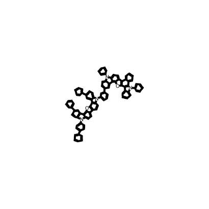 c1ccc(-c2ccc(-n3c4ccc(-c5ccccc5)cc4c4c5oc6c(ccc7c6c6cc(-c8ccccc8)ccc6n7-c6cccc(-c7ccc8c(c7)c7c9oc%10c(c%11ccccc%11c%11c%10c%10ccccc%10n%11-c%10ccccc%10)c9ccc7n8-c7ccccc7)c6)c5ccc43)cc2)cc1